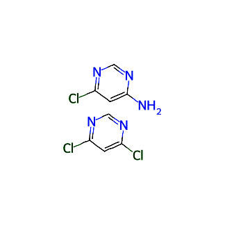 Clc1cc(Cl)ncn1.Nc1cc(Cl)ncn1